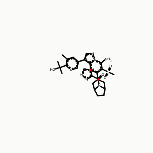 Cc1cc(-c2cnn3c(N)c(S(C)(=O)=O)c(C4CC5CCC(C4)N5C(=O)c4nnc[nH]4)nc23)cnc1C(C)(C)O